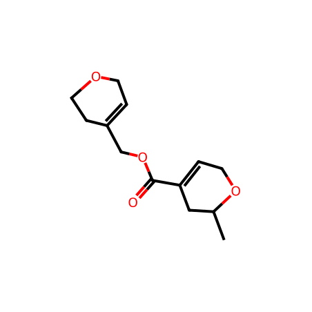 CC1CC(C(=O)OCC2=CCOCC2)=CCO1